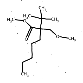 CCCCCC(COC)(C(=O)OC)C(C)(C)C